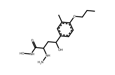 CCCOc1ccc(C(O)CC(NN)C(=O)NO)cc1C